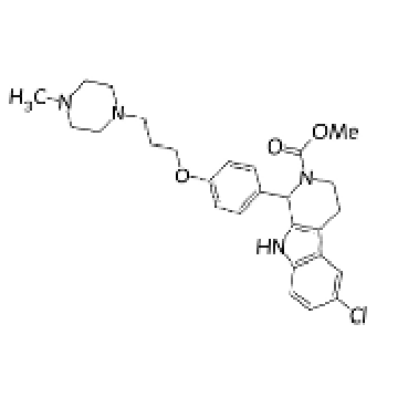 COC(=O)N1CCc2c([nH]c3ccc(Cl)cc23)C1c1ccc(OCCCN2CCN(C)CC2)cc1